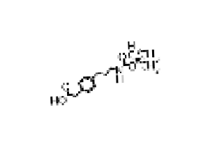 CC(C)(C)OC(=O)NCCCc1ccc(CC(=O)O)cc1